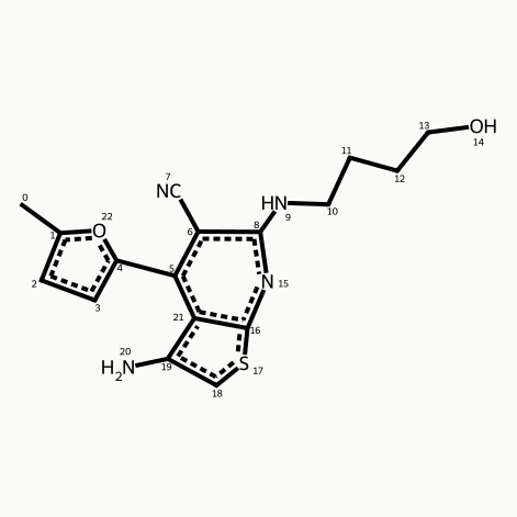 Cc1ccc(-c2c(C#N)c(NCCCCO)nc3scc(N)c23)o1